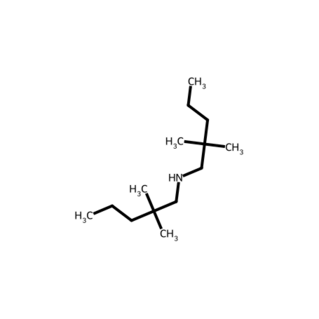 CCCC(C)(C)CNCC(C)(C)CCC